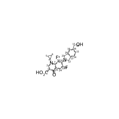 O=C(O)c1cn(C2CC2)c2c(F)c(N3Cc4ccc(CO)cc4C3)c(F)cc2c1=O